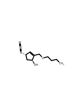 CCCCOCC1=C[C@@H](N=[N+]=[N-])C[C@@H]1O